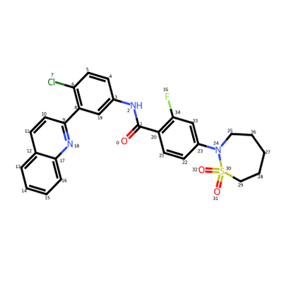 O=C(Nc1ccc(Cl)c(-c2ccc3ccccc3n2)c1)c1ccc(N2CCCCCS2(=O)=O)cc1F